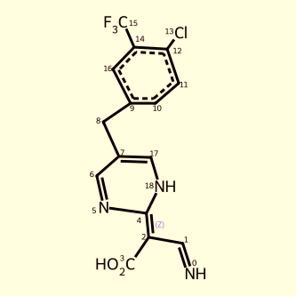 N=C/C(C(=O)O)=C1/N=CC(Cc2ccc(Cl)c(C(F)(F)F)c2)=CN1